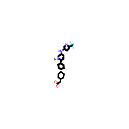 O=C([O-])C[C@H]1CC[C@H](c2ccc(-c3ccc(Nc4ccc(C(F)(F)F)nc4)cn3)cc2)CC1.[Na+]